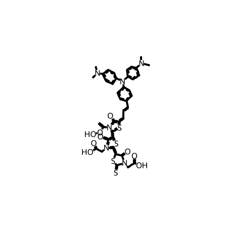 C=C(OO)n1c(=O)/c(=C\C=C\c2ccc(N(c3ccc(N(C)C)cc3)c3ccc(N(C)C)cc3)cc2)s/c1=c1\s/c(=C2/SC(=S)N(CC(=O)O)C2=O)n(CC(=O)O)c1=O